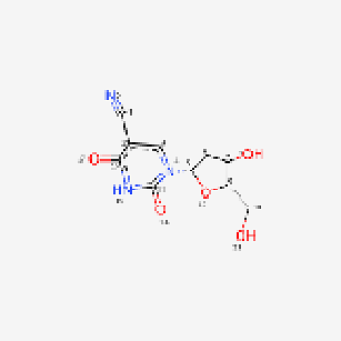 N#Cc1cn([C@@H]2CC(O)[C@H](CO)O2)c(=O)[nH]c1=O